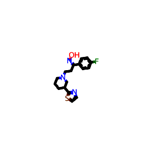 ON=C(CCN1CCCC(c2nccs2)C1)c1ccc(F)cc1